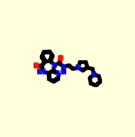 O=C1Nc2cccnc2N(C(=O)NCCN2CCC(CN3CCCCC3)C2)c2ccccc21